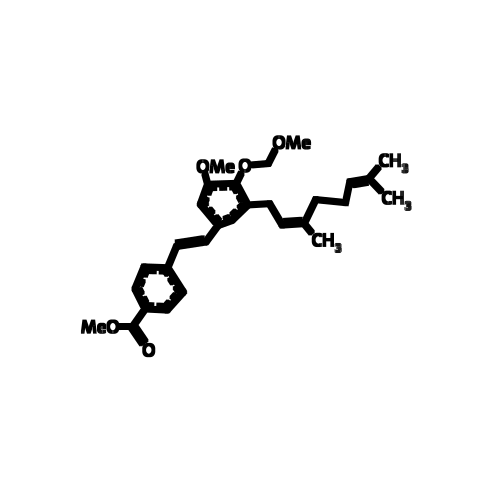 COCOc1c(CC=C(C)CCC=C(C)C)cc(C=Cc2ccc(C(=O)OC)cc2)cc1OC